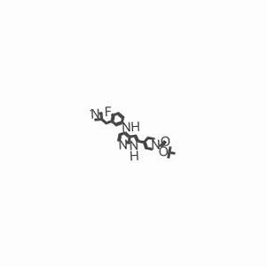 CN1CC(Cc2cc(Nc3ccnc4[nH]c(C5=CCN(C(=O)OC(C)(C)C)CC5)cc34)ccc2F)C1